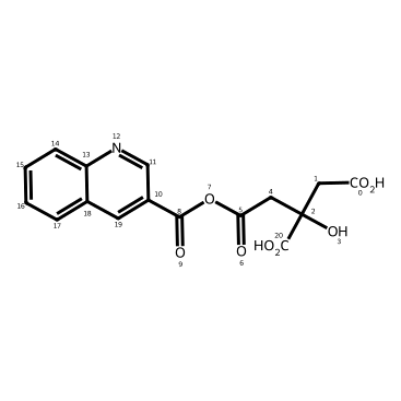 O=C(O)CC(O)(CC(=O)OC(=O)c1cnc2ccccc2c1)C(=O)O